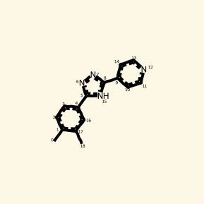 Cc1ccc(-c2nnc(-c3ccncc3)[nH]2)cc1C